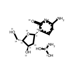 NP(O)O.Nc1ccn([C@@H]2C[C@@H](O)[C@H](CO)O2)c(=O)n1